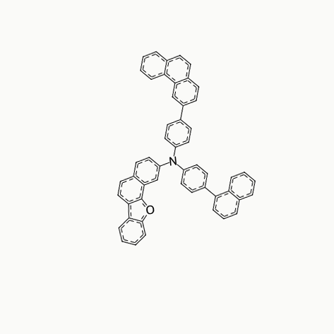 c1ccc2c(-c3ccc(N(c4ccc(-c5ccc6ccc7ccccc7c6c5)cc4)c4ccc5ccc6c7ccccc7oc6c5c4)cc3)cccc2c1